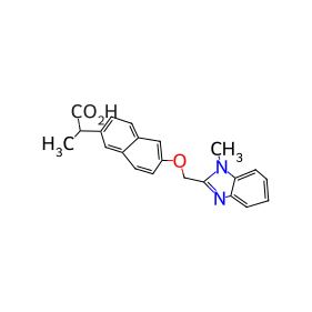 CC(C(=O)O)c1ccc2cc(OCc3nc4ccccc4n3C)ccc2c1